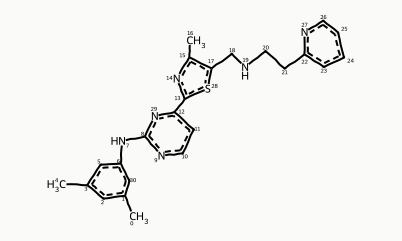 Cc1cc(C)cc(Nc2nccc(-c3nc(C)c(CNCCc4ccccn4)s3)n2)c1